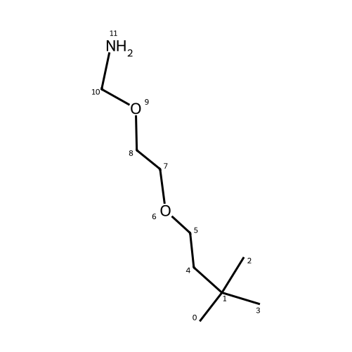 CC(C)(C)CCOCCOCN